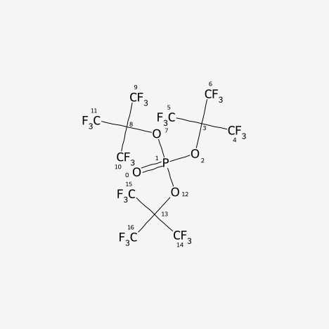 O=P(OC(C(F)(F)F)(C(F)(F)F)C(F)(F)F)(OC(C(F)(F)F)(C(F)(F)F)C(F)(F)F)OC(C(F)(F)F)(C(F)(F)F)C(F)(F)F